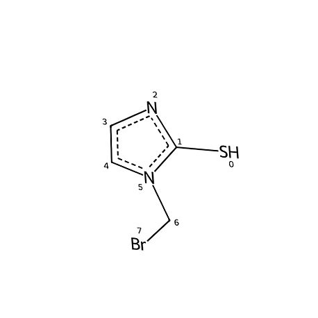 Sc1nccn1CBr